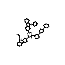 C/C=C\Cn1c2ccccc2c2ccc(-c3nc(-c4cccc(-c5ccc(-c6ccccc6)cc5)c4)nc(-c4ccc5c6ccccc6n(-c6ccccc6)c5c4)n3)cc21